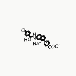 O=C([O-])C1CCN(c2ccc3c(c2)C[C@@H](NC[C@H](O)c2ccc(Cl)cc2)CC3)CC1.[Na+]